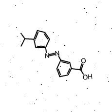 CC(C)c1cccc(/N=N/c2cccc(C(=O)O)c2)c1